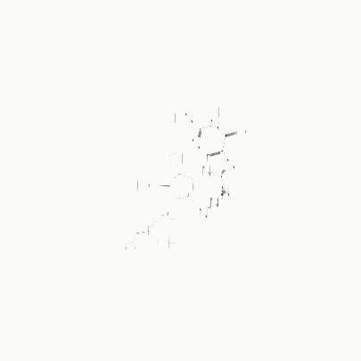 [N-]=[N+]=Nc1nc2c(=O)[nH]c(N)nc2n1[C@@H]1O[C@H](OOP(O)CO)C(O)[C@@H]1O